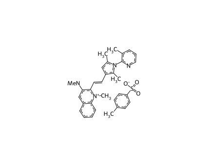 CNc1cc2ccccc2[n+](C)c1C=Cc1cc(C)n(-c2ncccc2C)c1C.Cc1ccc(S(=O)(=O)[O-])cc1